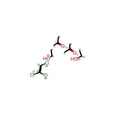 CC(C)=O.CC(C)=O.CCO.CCO.ClC=C(Cl)Cl